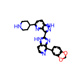 c1cc2[nH]c(-c3n[nH]c4ccc(C5CCNCC5)nc34)nc2c(-c2ccc3c(c2)OCO3)n1